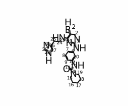 Bc1cnc(Nc2cccc(NC(=O)N3CCCCC3)c2)nc1NCCc1c[nH]cn1